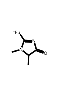 CC1C(=O)N=C(C(C)(C)C)N1C